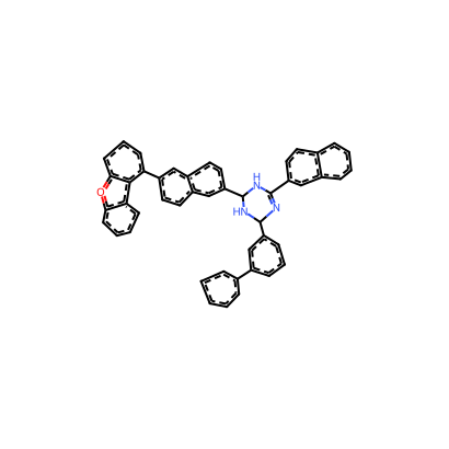 c1ccc(-c2cccc(C3N=C(c4ccc5ccccc5c4)NC(c4ccc5cc(-c6cccc7oc8ccccc8c67)ccc5c4)N3)c2)cc1